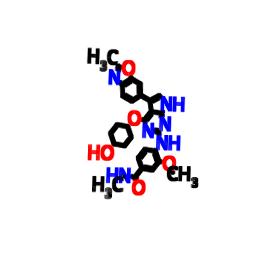 CNC(=O)c1ccc(Nc2nc(OC3CCC(O)CC3)c3c(-c4ccc5nc(C)oc5c4)c[nH]c3n2)c(OC)c1